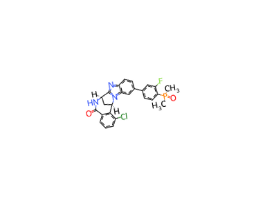 CP(C)(=O)c1ccc(-c2ccc3nc4n(c3c2)[C@@H]2C[C@H]4NC(=O)c3cccc(Cl)c32)cc1F